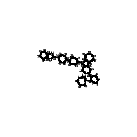 c1ccc(-c2ccccc2-c2ccc3c(c2)c2ccccc2n3-c2ccc(-c3ccc(-c4nc5ccccc5o4)cc3)cc2)cc1